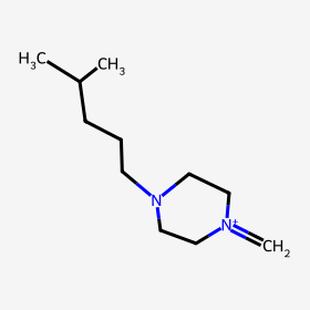 C=[N+]1CCN(CCCC(C)C)CC1